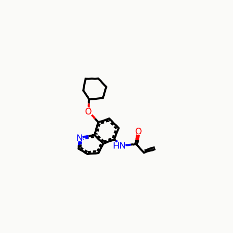 C=CC(=O)Nc1ccc(OC2CCCCC2)c2ncccc12